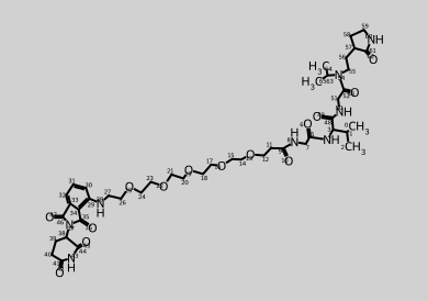 CC(C)C(NC(=O)CNC(=O)CCOCCOCCOCCOCCOCCNc1cccc2c1C(=O)N(C1CCC(=O)NC1=O)C2=O)C(=O)NCC(=O)N(CCC1CCNC1=O)C(C)C